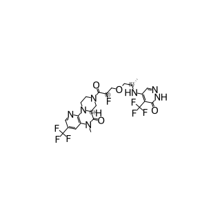 C[C@@H](COC[C@@H](F)C(=O)N1CCN2c3ncc(C(F)(F)F)cc3N(C)C(=O)[C@@H]2C1)Nc1cn[nH]c(=O)c1C(F)(F)F